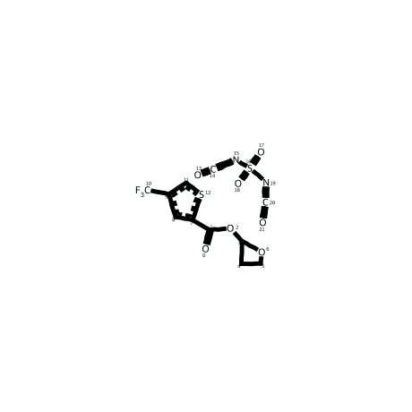 O=C(OC1CCO1)c1cc(C(F)(F)F)cs1.O=C=NS(=O)(=O)N=C=O